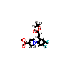 COC(=O)C1CCN(c2cc(F)c(F)cc2/C=C/C(=O)OC(C)(C)C)CC1